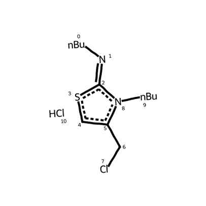 CCCC/N=c1\scc(CCl)n1CCCC.Cl